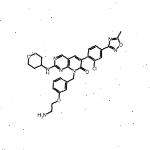 Cc1nc(-c2ccc(-c3cc4cnc(NC5CCOCC5)nc4n(Cc4cccc(OCCN)c4)c3=O)c(Cl)c2)no1